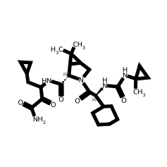 CC1(NC(=O)N[C@H](C(=O)N2CC3C([C@H]2C(=O)NC(CC2CC2)C(=O)C(N)=O)C3(C)C)C2CCCCC2)CC1